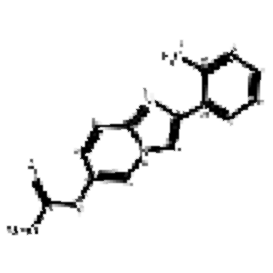 COC(=O)Oc1ccc2nc(-c3ccccc3C(F)(F)F)cn2c1